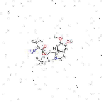 COc1cc2c(cc1OC)[C@@H]1C[C@H](OC(=O)[C@@H](N)C(C)C)[C@@H](CC(C)(C)C)CN1CC2